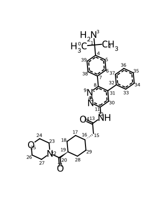 CC(C)(N)c1ccc(-c2nnc(NC(=O)C[C@H]3CC[C@H](C(=O)N4CCOCC4)CC3)cc2-c2ccccc2)cc1